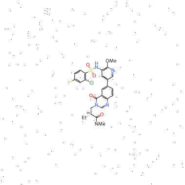 CC[C@H](Cn1cnc2ccc(-c3cnc(OC)c(NS(=O)(=O)c4ccc(F)cc4Cl)c3)cc2c1=O)C(=O)NC